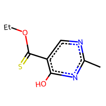 CCOC(=S)c1cnc(C)nc1O